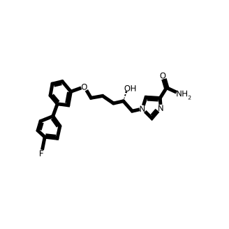 NC(=O)c1cn(C[C@@H](O)CCCOc2cccc(-c3ccc(F)cc3)c2)cn1